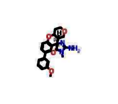 COc1cccc(-c2ccc3c(c2)[C@]2(N=C(N)N(C)C2=O)[C@H]2COCCC2O3)c1